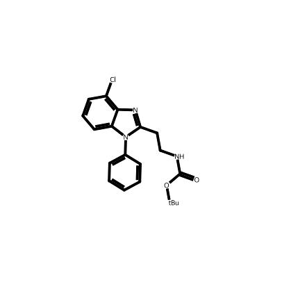 CC(C)(C)OC(=O)NCCc1nc2c(Cl)cccc2n1-c1ccccc1